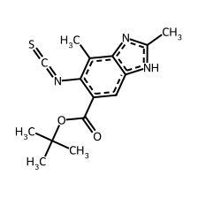 Cc1nc2c(C)c(N=C=S)c(C(=O)OC(C)(C)C)cc2[nH]1